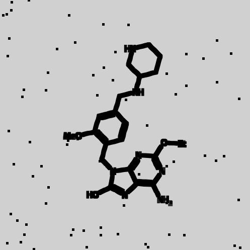 CCOc1nc(N)c2nc(O)n(Cc3ccc(CNC4CCCNC4)cc3OC)c2n1